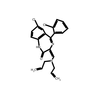 C=CCN(C=C1N=C(c2ccccc2Cl)c2cc(Cl)ccc2NC1=O)CC=C